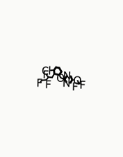 FCC(F)C(F)Cc1c(Cl)cccc1Oc1ncc(OC(F)F)cn1